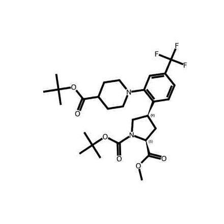 COC(=O)[C@@H]1C[C@H](c2ccc(C(F)(F)F)cc2N2CCC(C(=O)OC(C)(C)C)CC2)CN1C(=O)OC(C)(C)C